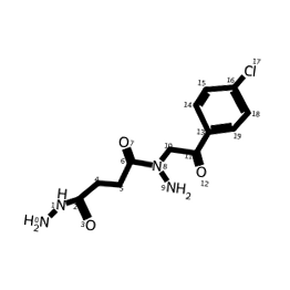 NNC(=O)CCC(=O)N(N)CC(=O)c1ccc(Cl)cc1